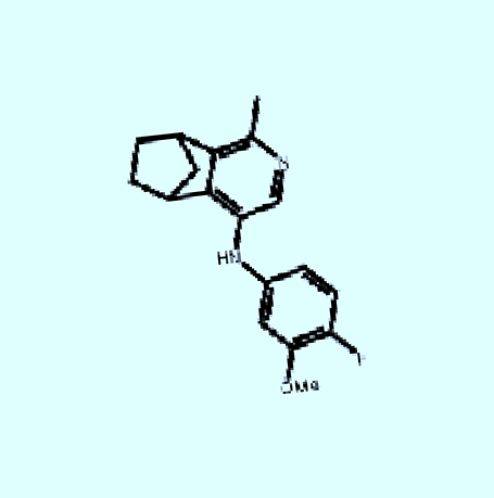 COc1cc(Nc2cnc(C)c3c2C2CCC3C2)ccc1F